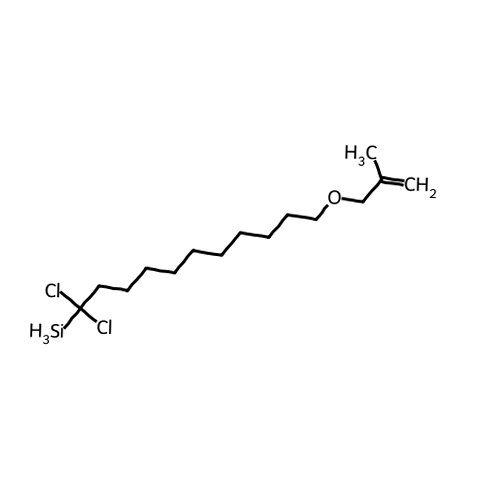 C=C(C)COCCCCCCCCCCC([SiH3])(Cl)Cl